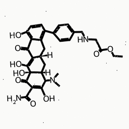 CCOC(=O)CNCc1ccc(-c2ccc(O)c3c2C[C@@H]2C[C@@H]4C(N(C)C)C(O)=C(C(N)=O)C(=O)[C@]4(O)C(O)=C2C3=O)cc1